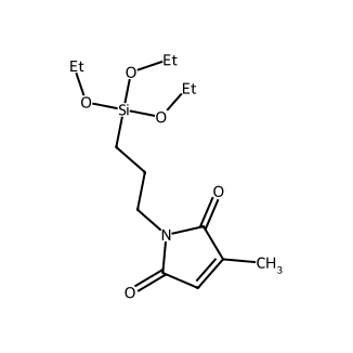 CCO[Si](CCCN1C(=O)C=C(C)C1=O)(OCC)OCC